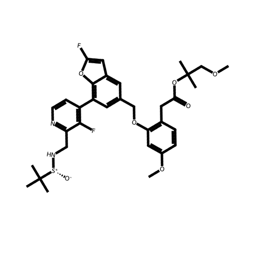 COCC(C)(C)OC(=O)Cc1ccc(OC)cc1OCc1cc(-c2ccnc(CN[S@+]([O-])C(C)(C)C)c2F)c2oc(F)cc2c1